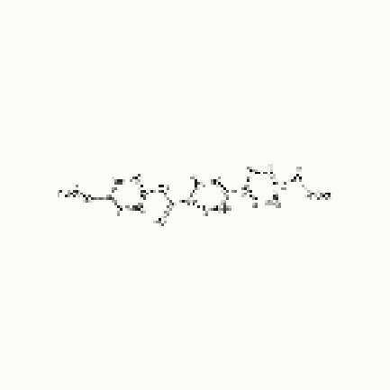 CCCCCCCCOc1ccc(OC(=O)c2cnc(-c3ccc(OCCCCCCCC)cc3)cn2)cc1